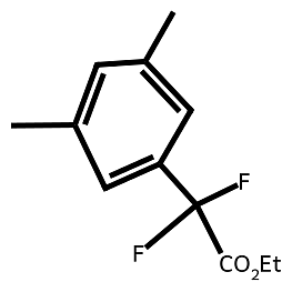 CCOC(=O)C(F)(F)c1cc(C)cc(C)c1